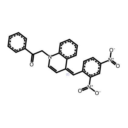 O=C(CN1C=C/C(=C/c2ccc([N+](=O)[O-])cc2[N+](=O)[O-])c2ccccc21)c1ccccc1